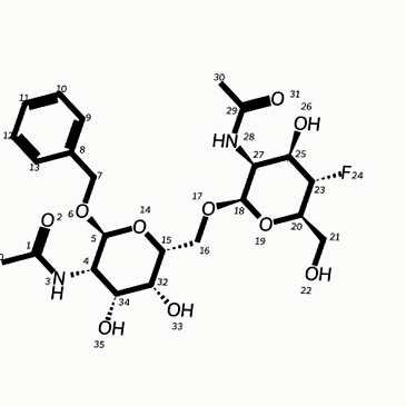 CC(=O)N[C@@H]1[C@@H](OCc2ccccc2)O[C@H](CO[C@@H]2O[C@H](CO)[C@@H](F)[C@H](O)[C@@H]2NC(C)=O)[C@H](O)[C@@H]1O